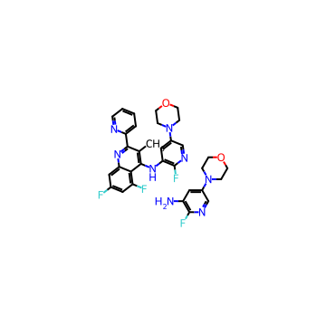 Cc1c(-c2ccccn2)nc2cc(F)cc(F)c2c1Nc1cc(N2CCOCC2)cnc1F.Nc1cc(N2CCOCC2)cnc1F